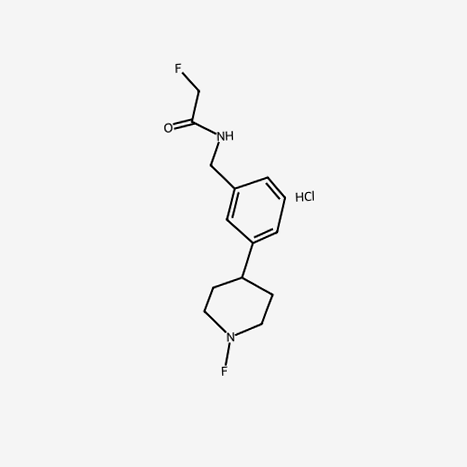 Cl.O=C(CF)NCc1cccc(C2CCN(F)CC2)c1